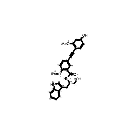 COc1cc(O)ccc1C#Cc1ccc(OC(C)C)c(C(=O)N[C@@H](CO)Cc2c[nH]c3ccccc23)c1